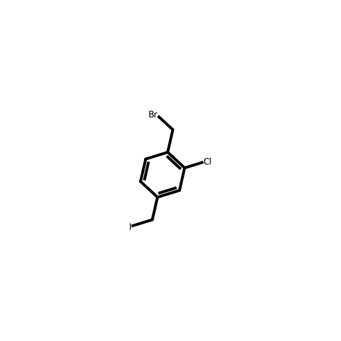 Clc1cc(CI)ccc1CBr